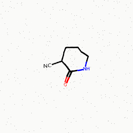 N#CC1CCCNC1=O